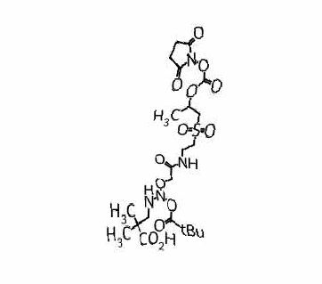 CC(CS(=O)(=O)CCNC(=O)CON(NCC(C)(C)C(=O)O)OC(=O)C(C)(C)C)OC(=O)ON1C(=O)CCC1=O